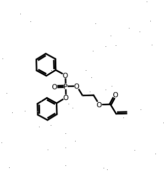 C=CC(=O)OCCOP(=O)(Oc1ccccc1)Oc1ccccc1